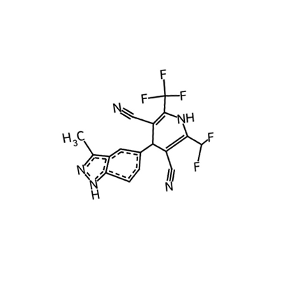 Cc1n[nH]c2ccc(C3C(C#N)=C(C(F)F)NC(C(F)(F)F)=C3C#N)cc12